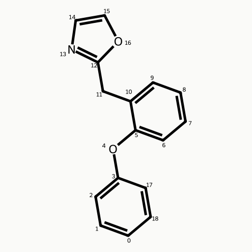 c1ccc(Oc2ccccc2Cc2ncco2)cc1